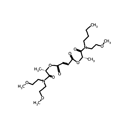 CCCCN(CCOC)C(=O)[C@H](C)OC(=O)/C=C/C(=O)O[C@@H](C)C(=O)N(CCOC)CCOC